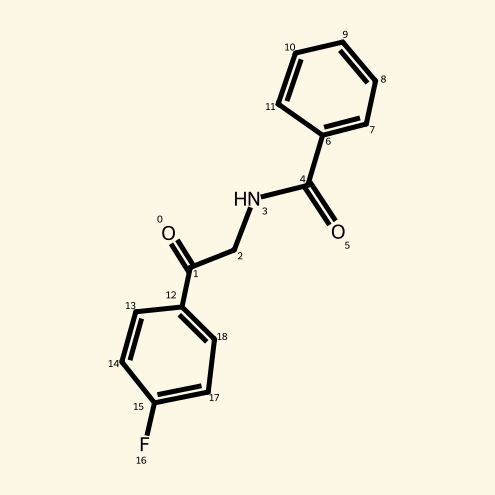 O=C(CNC(=O)c1ccccc1)c1ccc(F)cc1